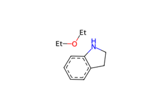 CCOCC.c1ccc2c(c1)CCN2